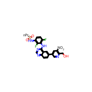 CCCS(=O)(=O)Nc1ccc(F)c(Nc2ncnc3ccc(-c4cnc(CO)c([N+](=O)[O-])c4)cc23)c1F